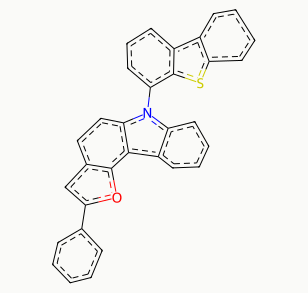 c1ccc(-c2cc3ccc4c(c5ccccc5n4-c4cccc5c4sc4ccccc45)c3o2)cc1